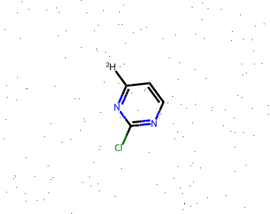 [2H]c1ccnc(Cl)n1